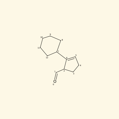 O=CC1CCC=C1C1CCCCC1